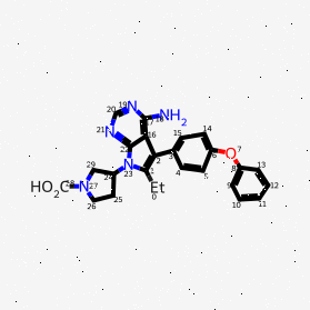 CCc1c(-c2ccc(Oc3ccccc3)cc2)c2c(N)ncnc2n1C1CCN(C(=O)O)C1